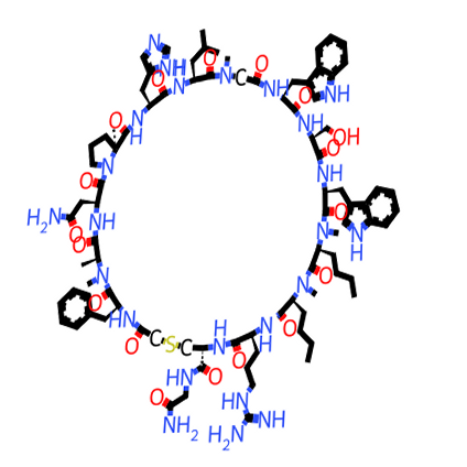 CCCC[C@H]1C(=O)N(C)[C@@H](CCCC)C(=O)N[C@@H](CCCNC(=N)N)C(=O)N[C@H](C(=O)NCC(N)=O)CSCC(=O)N[C@@H](Cc2ccccc2)C(=O)N(C)[C@@H](C)C(=O)N[C@@H](CC(N)=O)C(=O)N2CCC[C@@]2(C)C(=O)N[C@@H](Cc2cnc[nH]2)C(=O)N[C@@H](CC(C)C)C(=O)N(C)CC(=O)N[C@@H](Cc2c[nH]c3ccccc23)C(=O)N[C@@H](CO)C(=O)N[C@@H](Cc2c[nH]c3ccccc23)C(=O)N1C